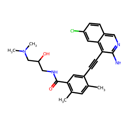 Cc1cc(C)c(C(=O)NCC(O)CN(C)C)cc1C#Cc1c(N)ncc2ccc(Cl)cc12